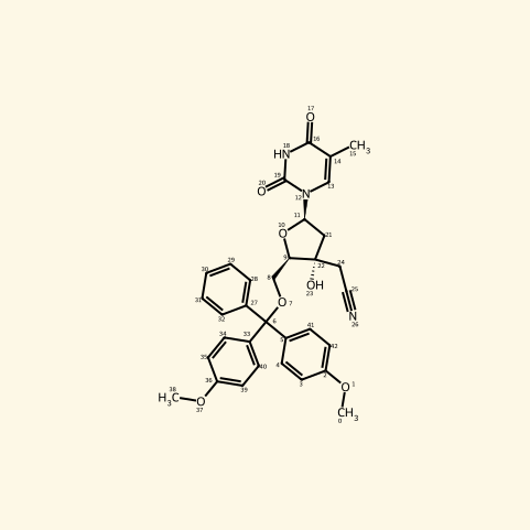 COc1ccc(C(OC[C@H]2O[C@@H](n3cc(C)c(=O)[nH]c3=O)C[C@@]2(O)CC#N)(c2ccccc2)c2ccc(OC)cc2)cc1